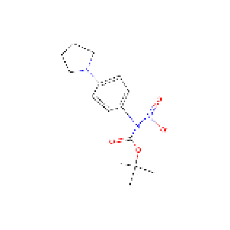 CC(C)(C)OC(=O)N(c1ccc(N2CCCC2)cc1)[N+](=O)[O-]